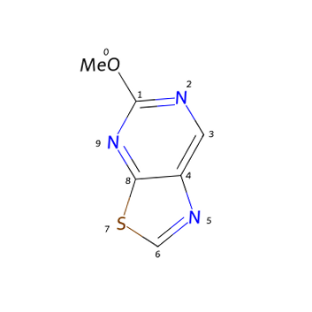 COc1ncc2ncsc2n1